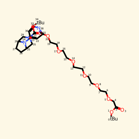 CC(C)(C)OC(=O)COCCOCCOCCOCCOCCOc1cc(N2C3CCC2CN(C(=O)OC(C)(C)C)C3)ccn1